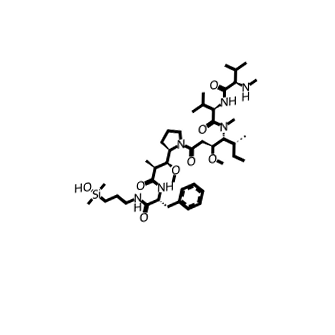 CC[C@@H](C)[C@H]([C@H](CC(=O)N1CCC[C@@H]1[C@@H](OC)[C@H](C)C(=O)N[C@H](Cc1ccccc1)C(=O)NCCC[Si](C)(C)O)OC)N(C)C(=O)[C@H](NC(=O)[C@H](NC)C(C)C)C(C)C